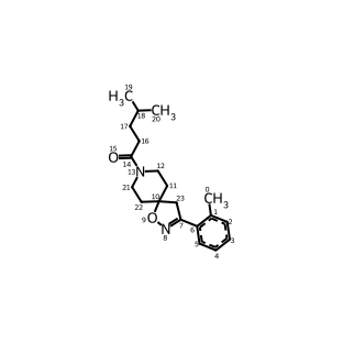 Cc1ccccc1C1=NOC2(CCN(C(=O)CCC(C)C)CC2)C1